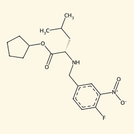 CC(C)C[C@H](NCc1ccc(F)c([N+](=O)[O-])c1)C(=O)OC1CCCC1